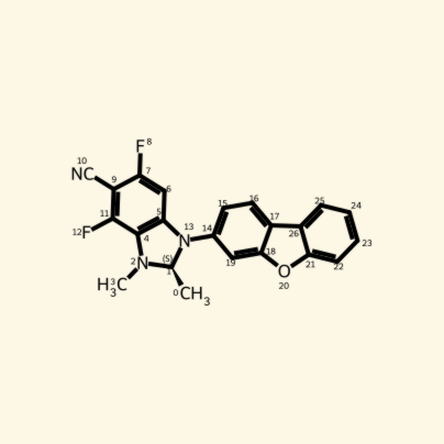 C[C@H]1N(C)c2c(cc(F)c(C#N)c2F)N1c1ccc2c(c1)oc1ccccc12